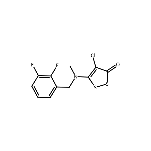 CN(Cc1cccc(F)c1F)c1ssc(=O)c1Cl